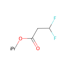 CC(C)OC(=O)CC(F)F